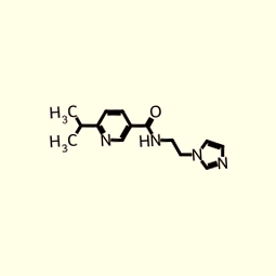 CC(C)c1ccc(C(=O)NCCn2ccnc2)cn1